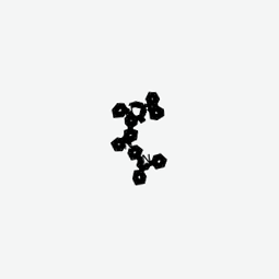 C=C1/C=C(n2c3ccccc3c3ccccc32)\C=C/CN(c2ccccc2)c2ccc(-c3ccc4c(c3)c3ccccc3n4-c3ccc(-c4cc(-c5ccccc5)cc(-c5ccccc5)n4)cc3)cc21